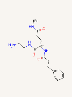 CC(C)(C)NC(=O)CC[C@H](NC(=O)CCc1ccccc1)C(=O)NCCN